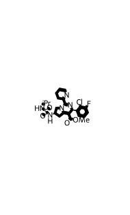 COC(=O)C1=C2C[C@H](NS(=O)(=O)NC(C)C)CN2C(C2=NC=CCC2)=N[C@H]1c1cccc(F)c1Cl